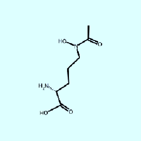 CC(=O)N(O)CCC[C@@H](N)C(=O)O